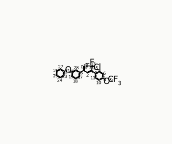 C=C(C=C(c1ccc(OC(F)(F)F)cc1)C(F)(F)Cl)c1cccc(Oc2ccccc2)c1